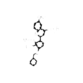 COc1c(-c2cc(C(=O)O)c3cc(OC(F)(F)F)ccc3n2)ccc(OCc2ccccc2)c1C